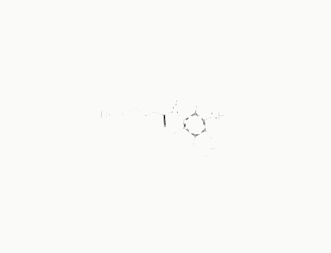 CN(C(=O)CCCC(=O)O)c1c(I)c(N)c(I)c(C(=O)O)c1I